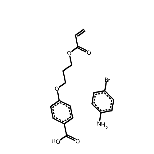 C=CC(=O)OCCCOc1ccc(C(=O)O)cc1.Nc1ccc(Br)cc1